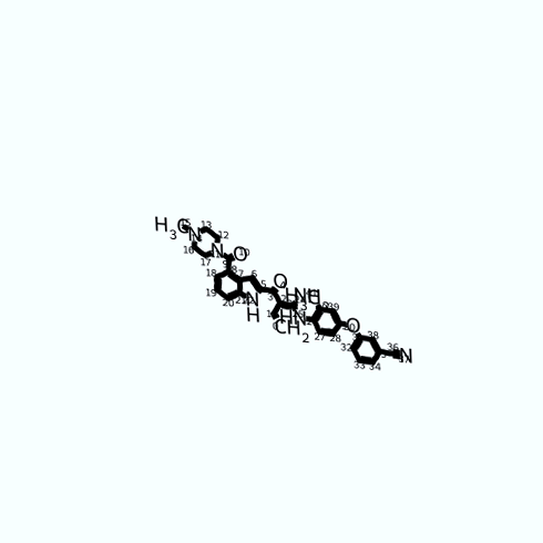 C=C/C(C(=O)c1cc2c(C(=O)N3CCN(C)CC3)cccc2[nH]1)=C(/N)Nc1ccc(Oc2cccc(C#N)c2)cc1C